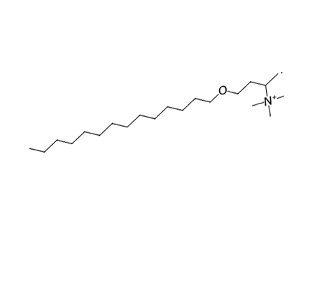 [CH2]C(CCOCCCCCCCCCCCCCC)[N+](C)(C)C